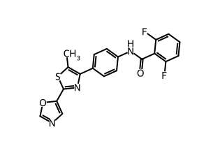 Cc1sc(-c2cnco2)nc1-c1ccc(NC(=O)c2c(F)cccc2F)cc1